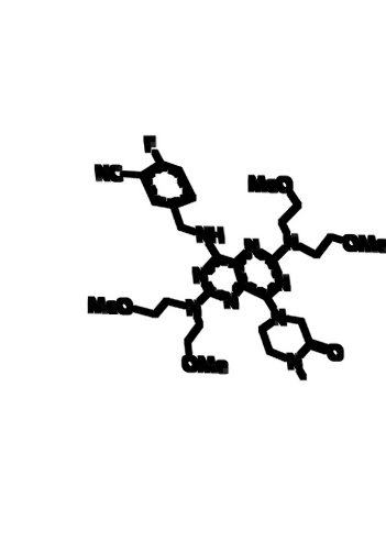 COCCN(CCOC)c1nc(N2CCN(C)C(=O)C2)c2nc(N(CCOC)CCOC)nc(NCc3ccc(F)c(C#N)c3)c2n1